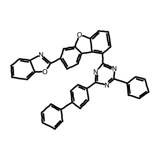 c1ccc(-c2ccc(-c3nc(-c4ccccc4)nc(-c4cccc5oc6cc(-c7nc8ccccc8o7)ccc6c45)n3)cc2)cc1